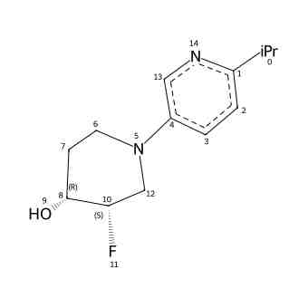 CC(C)c1ccc(N2CC[C@@H](O)[C@@H](F)C2)cn1